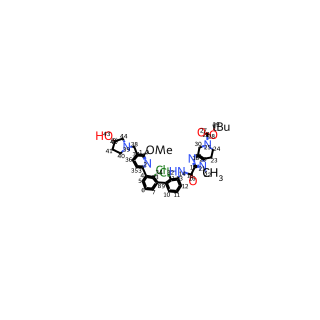 COc1nc(-c2cccc(-c3cccc(NC(=O)c4nc5c(n4C)CCN(C(=O)OC(C)(C)C)C5)c3Cl)c2Cl)ccc1CN1CC[C@@H](O)C1